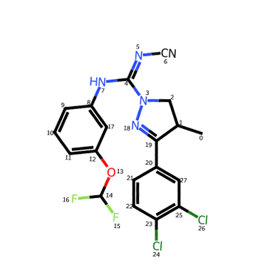 CC1CN(/C(=N\C#N)Nc2cccc(OC(F)F)c2)N=C1c1ccc(Cl)c(Cl)c1